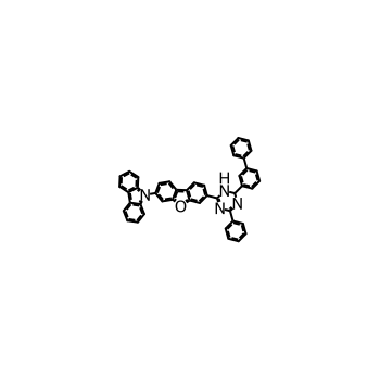 c1ccc(C2=NC(c3cccc(-c4ccccc4)c3)NC(c3ccc4c(c3)oc3cc(-n5c6ccccc6c6ccccc65)ccc34)=N2)cc1